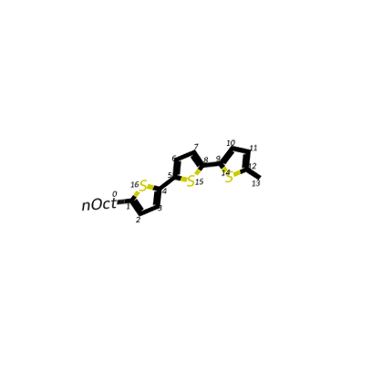 CCCCCCCCc1ccc(-c2ccc(-c3ccc(C)s3)s2)s1